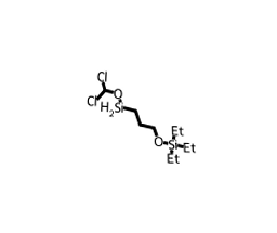 CC[Si](CC)(CC)OCCC[SiH2]OC(Cl)Cl